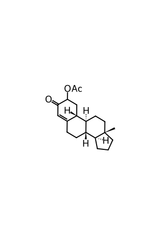 CC(=O)OC1C[C@H]2C(=CC1=O)CC[C@@H]1[C@@H]2CC[C@]2(C)CCC[C@@H]12